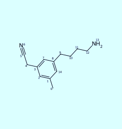 Cc1cc(CC#N)cc(CCCCN)c1